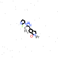 Cc1c(-c2ccc3c(=O)n(C(C)C)ccc3c2)nnn1-c1cccnc1F